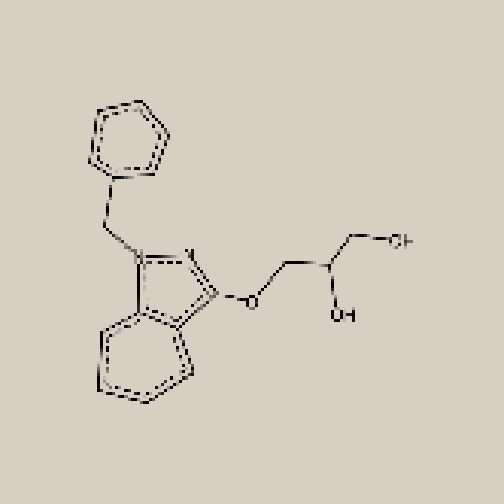 OCC(O)COc1nn(Cc2ccccc2)c2ccccc12